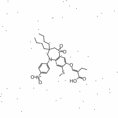 CCCCC1(CCCC)CN(c2ccc([N+](=O)[O-])cc2)c2cc(SC)c(O/C=C(\CC)C(=O)O)cc2S(=O)(=O)C1